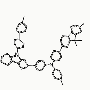 Cc1ccc(-c2ccc(-n3c4ccccc4c4ccc(-c5ccc(N(c6ccc(C)cc6)c6ccc(-c7ccc8c(c7)C(C)(C)c7cc(C)ccc7-8)cc6)cc5)cc43)cc2)cc1